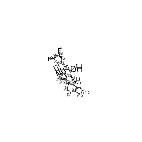 CCc1ccc2c(c1)C(NCC(O)C(Cc1cc(F)cc(F)c1)Nc1ccccn1)CCC2